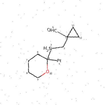 O=CC1(C[SiH2][C]2([Pt])CCCCO2)CC1